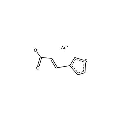 O=C([O-])/C=C/c1ccsc1.[Ag+]